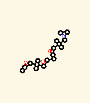 c1cc(-c2c3ccccc3c(-c3ccc4oc5cc6c(-c7ccc8oc9c(-c%10c%11ccccc%11c(-c%11ccc%12oc%13cc%14ccccc%14cc%13c%12c%11)c%11ccccc%10%11)cccc9c8c7)cccc6cc5c4c3)c3ccccc23)cc(-n2c3ccccc3c3ccccc32)c1